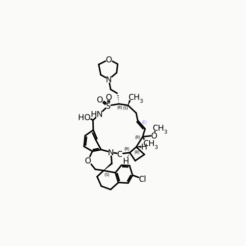 CO[C@@]1(C)/C=C/C[C@H](C)[C@@H](CCN2CCOCC2)S(=O)(=O)NC(O)c2ccc3c(c2)N(C[C@@H]2CC[C@H]21)C[C@@]1(CCCc2cc(Cl)ccc21)CO3